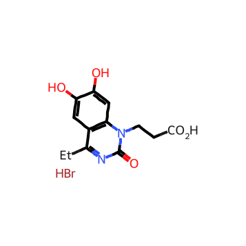 Br.CCc1nc(=O)n(CCC(=O)O)c2cc(O)c(O)cc12